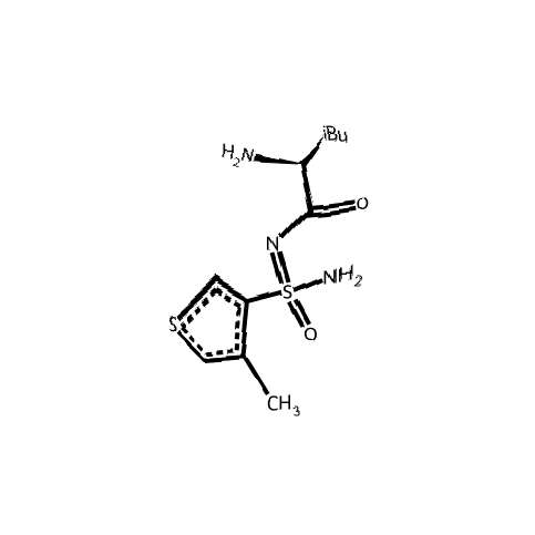 CC[C@H](C)[C@H](N)C(=O)N=S(N)(=O)c1cscc1C